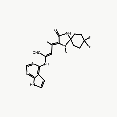 CC(/C=C(\C=O)Nc1ncnc2[nH]ccc12)=C1\C(=O)NC2(CCC(F)(F)CC2)N1C